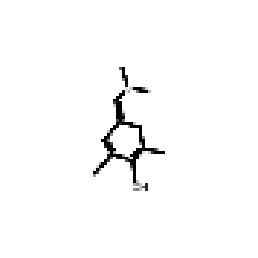 CC1=CC(=CN(C)C)CC(C)=C1O